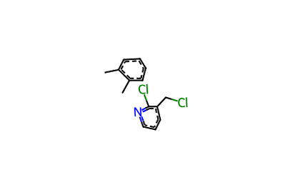 Cc1ccccc1C.ClCc1cccnc1Cl